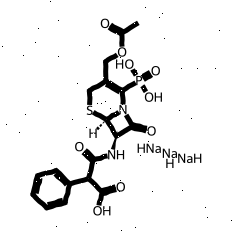 CC(=O)OCC1=C(P(=O)(O)O)N2C(=O)[C@@H](NC(=O)C(C(=O)O)c3ccccc3)[C@H]2SC1.[NaH].[NaH].[NaH]